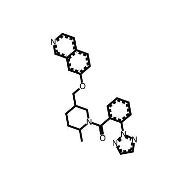 CC1CCC(COc2ccc3ccncc3c2)CN1C(=O)c1ccccc1-n1nccn1